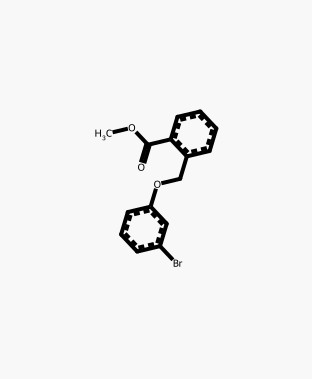 COC(=O)c1ccccc1COc1cccc(Br)c1